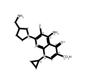 NCC1CCN(c2nc3c(c(N)c2F)c(=O)c(C(=O)O)cn3C2CC2)C1